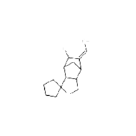 C/C=C1/C2CC(C1C(C)C)C1C2CSC12CCCC2